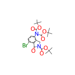 CC(C)(C)OC(=O)N1Cc2c(N(C(=O)OC(C)(C)C)C(=O)OC(C)(C)C)ccc(Br)c2C1=O